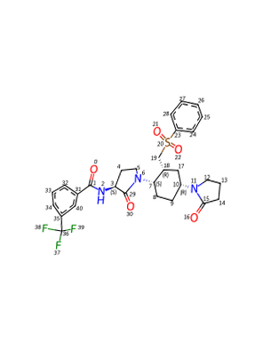 O=C(N[C@H]1CCN([C@H]2CC[C@@H](N3CCCC3=O)C[C@H]2CS(=O)(=O)c2ccccc2)C1=O)c1cccc(C(F)(F)F)c1